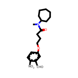 CN(C(=O)CCCOc1ccc([N+](=O)[O-])c(C=O)c1)C1CCCCCC1